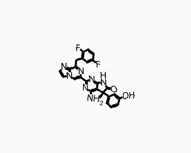 CC1(c2cccc(O)c2)C(=O)Nc2nc(-c3cn4ccnc4c(Cc4cc(F)ccc4F)n3)nc(N)c21